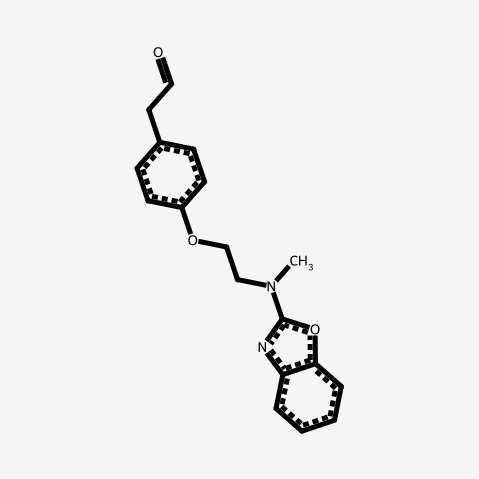 CN(CCOc1ccc(CC=O)cc1)c1nc2ccccc2o1